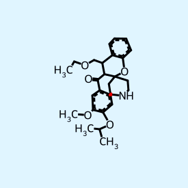 CCOCC1c2ccccc2OC2(CCNCC2)C1C(=O)c1ccc(OC(C)C)c(OC)c1